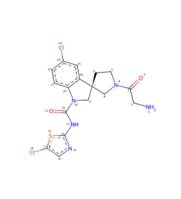 NCC(=O)N1CC[C@@]2(C1)CN(C(=O)Nc1ncc(Cl)s1)c1ccc(Cl)cc12